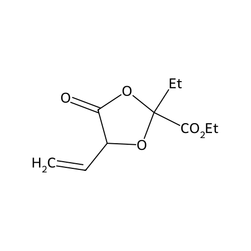 C=CC1OC(CC)(C(=O)OCC)OC1=O